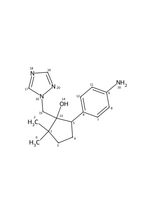 CC1(C)CCC(c2ccc(N)cc2)C1(O)Cn1cncn1